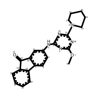 COc1nc(Nc2ccc3c(c2)C(=O)c2ccccc2-3)nc(N2CCCCC2)n1